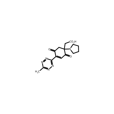 Cc1nnc(C2=CC(=O)C(CC(=O)O)(N3CCCC3)CC2=O)nn1